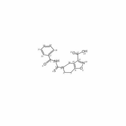 O=C(NC(=S)N1CCc2onc(C(=O)O)c2C1)c1ccccc1